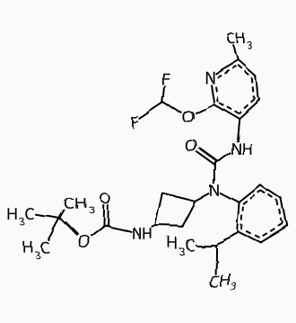 Cc1ccc(NC(=O)N(c2ccccc2C(C)C)C2CC(NC(=O)OC(C)(C)C)C2)c(OC(F)F)n1